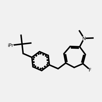 CC(C)C(C)(C)Cc1ccc(CC2=CC=C(N(C)C)C=C(F)C2)cc1